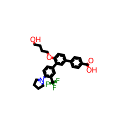 O=C(O)c1ccc(-c2ccc(OCCCCO)c(-c3ccc(N4CCCC4)c(C(F)(F)F)c3)c2)cc1